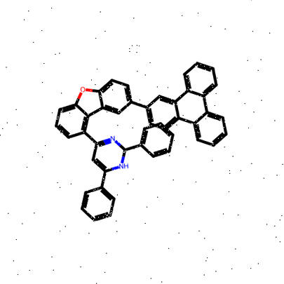 C1=C(c2ccccc2)NC(c2ccccc2)N=C1c1cccc2oc3ccc(-c4ccc5c6ccccc6c6ccccc6c5c4)cc3c12